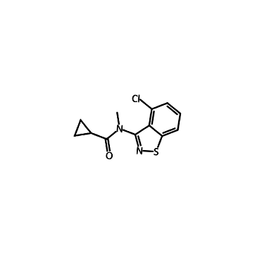 CN(C(=O)C1CC1)c1nsc2cccc(Cl)c12